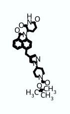 CC(C)(C)OC(=O)N1CCC(n2cc(Cc3ccc4c5c(cccc35)C(=O)N4C3CCC(=O)NC3=O)cn2)CC1